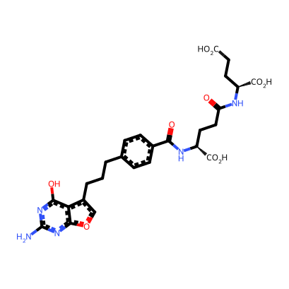 Nc1nc(O)c2c(CCCc3ccc(C(=O)N[C@@H](CCC(=O)N[C@@H](CCC(=O)O)C(=O)O)C(=O)O)cc3)coc2n1